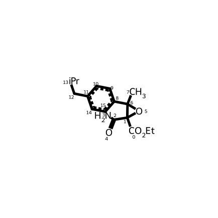 CCOC(=O)C1(C(N)=O)OC1(C)c1ccc(CC(C)C)cc1